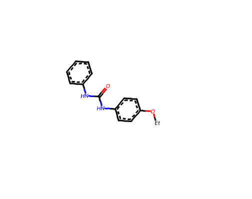 CCOc1ccc(NC(=O)Nc2ccccc2)cc1